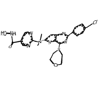 C[N+](C)(c1ncc(C(=O)NO)cn1)c1cc2nc(-c3ccc(Cl)cc3)nc(N3CCOCC3)c2s1